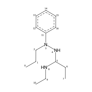 CCCN(NC(CC)NCC)c1ccccc1